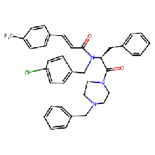 O=C([C@H](Cc1ccccc1)N(Cc1ccc(Cl)cc1)C(=O)C=Cc1ccc(C(F)(F)F)cc1)N1CCN(Cc2ccccc2)CC1